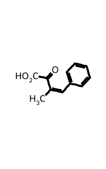 CC(=Cc1ccccc1)C(=O)C(=O)O